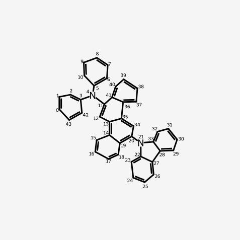 c1ccc(N(c2ccccc2)c2cc3c4ccccc4c(-n4c5ccccc5c5ccccc54)cc3c3ccccc23)cc1